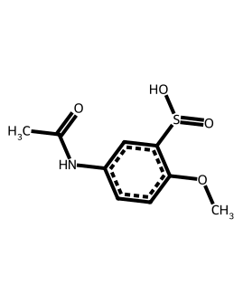 COc1ccc(NC(C)=O)cc1S(=O)O